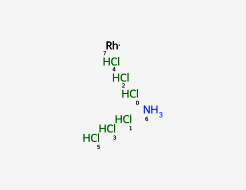 Cl.Cl.Cl.Cl.Cl.Cl.N.[Rh]